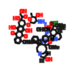 CC[C@]1(O)C[C@H]2C[N@](CCc3c([nH]c4ccccc34)[C@@](C(=O)OC)(c3cc4c(cc3OC)N(C=O)[C@H]3[C@@](O)(C(=O)OC)[C@H](OC(C)=O)[C@]5(CC)C=CCN6CC[C@]43[C@@H]65)C2)C1.COc1cccc2c1C(=O)c1c(O)c3c(c(O)c1C2=O)C[C@@](O)(C(=O)CO)C[C@@H]3O[C@H]1C[C@H](N)[C@H](O)[C@H](C)O1.Cl